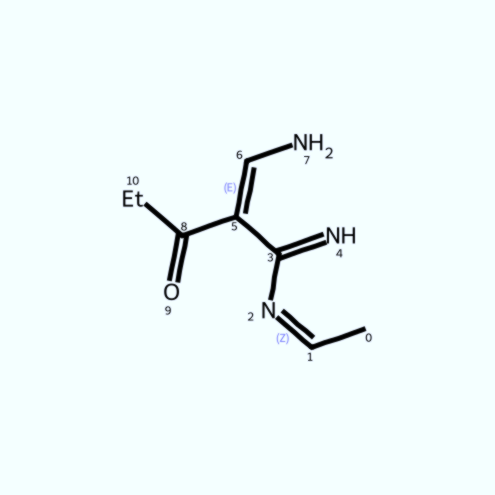 C/C=N\C(=N)/C(=C\N)C(=O)CC